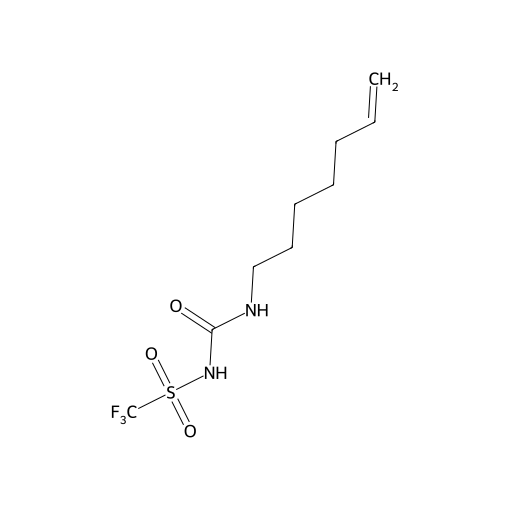 C=CCCCCCNC(=O)NS(=O)(=O)C(F)(F)F